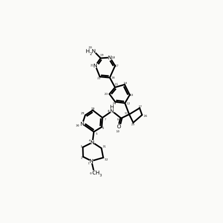 CN1CCN(c2cc(NC(=O)C3(c4ccc(-c5cnc(N)nc5)cc4)CCC3)ccn2)CC1